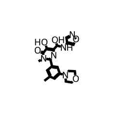 Cc1cc(-c2nc(C(O)Nc3cnoc3)c(O)c(=O)n2C)cc(N2CCOCC2)c1